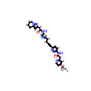 COc1ccnc(CC(=O)Nc2ccc(C#CCCc3nnc(NC(=O)Cc4cc5n(n4)CCCC5)s3)nn2)c1